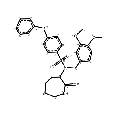 COc1ccc(CN(C2CCCCNC2=O)S(=O)(=O)c2ccc(Oc3ccccc3)cc2)cc1OC